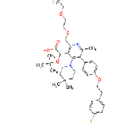 CCOCCOCc1nc(C)c(-c2ccc(OCCc3ccc(F)cc3)cc2)c(N2CCC(C)(C)CC2)c1C(OC(C)(C)C)C(=O)O